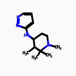 CC1C(Nc2cccnn2)CCN(C)C1(C)C